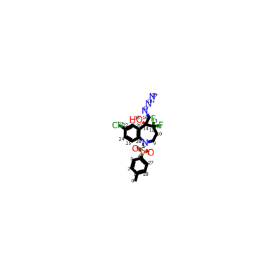 Cc1ccc(S(=O)(=O)N2CCC(F)(F)C(O)(CN=[N+]=[N-])c3cc(Cl)ccc32)cc1